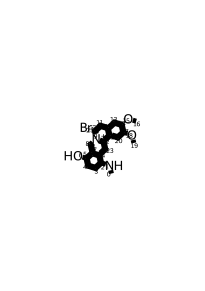 CNc1ccc(O)c2c[n+]3ccc4cc(OC)c(OC)cc4c3cc12.[Br-]